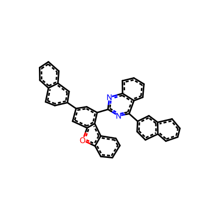 c1ccc2cc(-c3cc(-c4nc(-c5ccc6ccccc6c5)c5ccccc5n4)c4c(c3)oc3ccccc34)ccc2c1